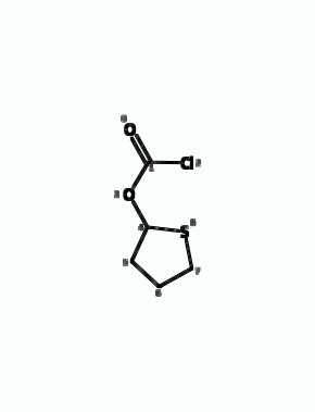 O=C(Cl)OC1CCCS1